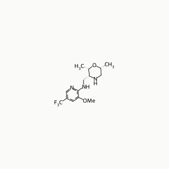 COc1cc(C(F)(F)F)cnc1NC[C@H]1NC[C@@H](C)O[C@H]1C